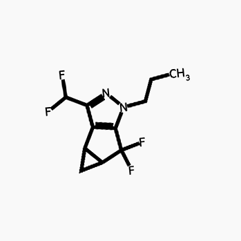 CCCn1nc(C(F)F)c2c1C(F)(F)C1CC21